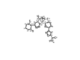 CNC(=O)c1nc(-c2ncc(F)c([C@]34CC[C@@H](c5cc(-c6c(F)cccc6F)nnc53)C4(C)C)n2)no1